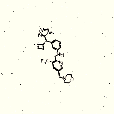 C[C@@H]1CN(Cc2cnc(CNc3cccc([C@H](c4nncn4C)C4CCC4)c3)c(C(F)(F)F)c2)CCO1